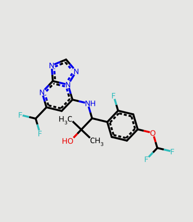 CC(C)(O)C(Nc1cc(C(F)F)nc2ncnn12)c1ccc(OC(F)F)cc1F